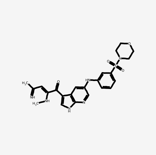 CN/C(=C\C(C)=N)C(=O)c1c[nH]c2ncc(Nc3cccc(S(=O)(=O)N4CCOCC4)c3)cc12